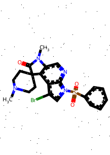 CN1CCC2(CC1)C(=O)N(C)c1cnc3c(c(Br)cn3S(=O)(=O)c3ccccc3)c12